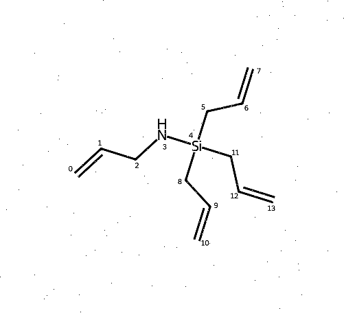 C=CCN[Si](CC=C)(CC=C)CC=C